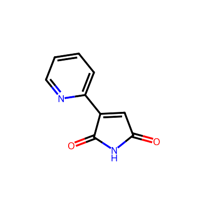 O=C1C=C(c2ccccn2)C(=O)N1